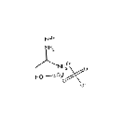 CC(N)N.O=S(=O)(O)O.O=S(=O)([O-])[O-].[Fe+2]